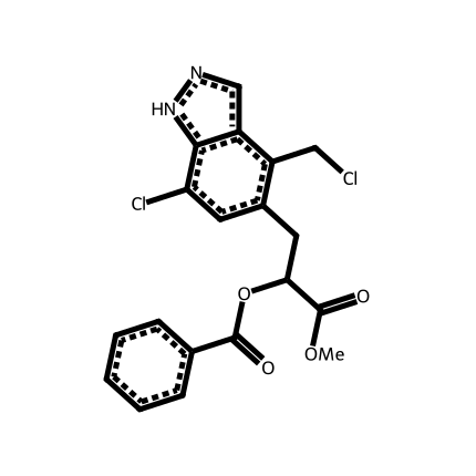 COC(=O)C(Cc1cc(Cl)c2[nH]ncc2c1CCl)OC(=O)c1ccccc1